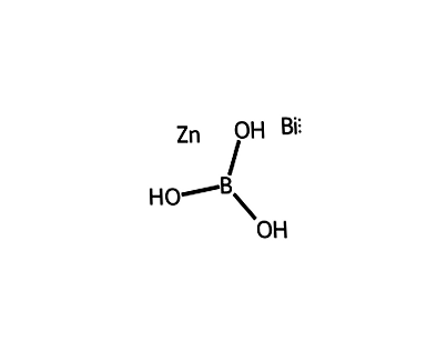 OB(O)O.[Bi].[Zn]